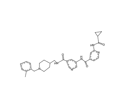 Cc1ccccc1CN1CCC(CNC(=O)c2cncc(NC(=O)c3ccnc(NC(=O)C4CC4)c3)c2)CC1